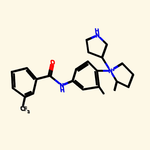 Cc1cc(NC(=O)c2cccc(C(F)(F)F)c2)ccc1[N+]1(C2CCNC2)CCCC1C